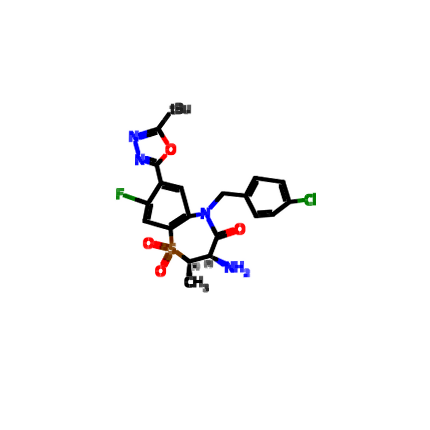 C[C@@H]1[C@H](N)C(=O)N(Cc2ccc(Cl)cc2)c2cc(-c3nnc(C(C)(C)C)o3)c(F)cc2S1(=O)=O